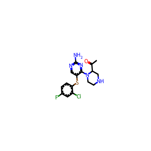 CC(=O)C1CNCCN1c1nc(N)ncc1Sc1ccc(F)cc1Cl